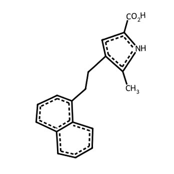 Cc1[nH]c(C(=O)O)cc1CCc1cccc2ccccc12